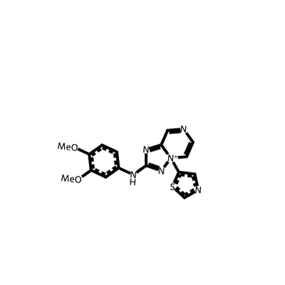 COc1ccc(NC2=N[N+]3(c4cncs4)C=CN=CC3=N2)cc1OC